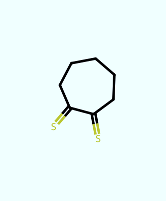 S=C1CCCCCC1=S